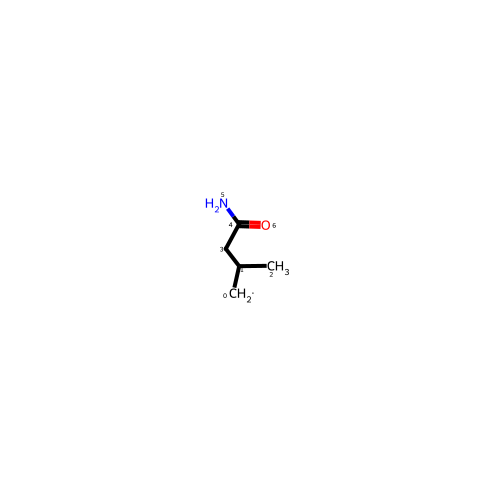 [CH2]C(C)CC(N)=O